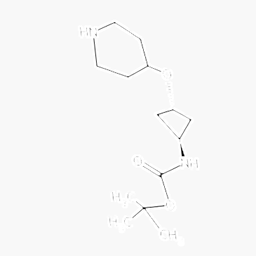 CC(C)(C)OC(=O)N[C@H]1C[C@H](OC2CCNCC2)C1